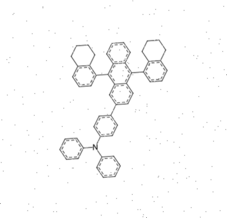 c1ccc(N(c2ccccc2)c2ccc(-c3ccc4c(-c5cccc6c5CCCC6)c5ccccc5c(-c5cccc6c5CCCC6)c4c3)cc2)cc1